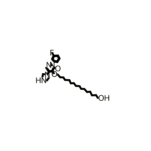 O=c1c(OCCCCCCCCCCCCCCCCO)c(N2CCNCC2)cnn1-c1cccc(F)c1